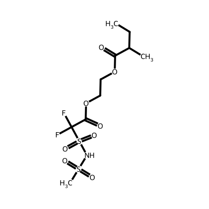 CCC(C)C(=O)OCCOC(=O)C(F)(F)S(=O)(=O)NS(C)(=O)=O